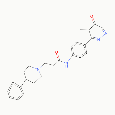 CC1C(=O)C=NN=C1c1ccc(NC(=O)CCN2CCC(c3ccccc3)CC2)cc1